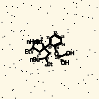 CCCCCCCC(CC(CC)CCCC)(CC(CC)CCCC)c1ccccc1OP(O)O